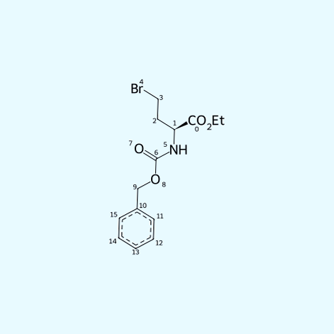 CCOC(=O)[C@H](CCBr)NC(=O)OCc1ccccc1